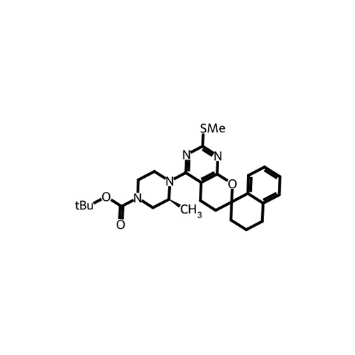 CSc1nc2c(c(N3CCN(C(=O)OC(C)(C)C)C[C@@H]3C)n1)CCC1(CCCc3ccccc31)O2